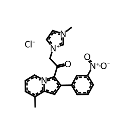 Cc1cccn2c(C(=O)C[n+]3ccn(C)c3)c(-c3cccc([N+](=O)[O-])c3)cc12.[Cl-]